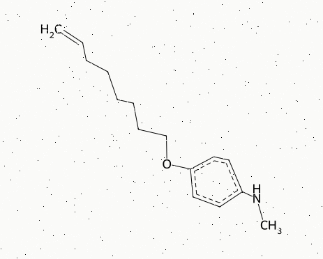 C=CCCCCCCOc1ccc(NC)cc1